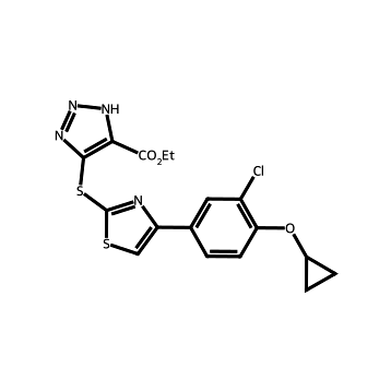 CCOC(=O)c1[nH]nnc1Sc1nc(-c2ccc(OC3CC3)c(Cl)c2)cs1